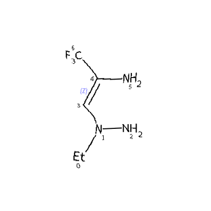 CCN(N)/C=C(\N)C(F)(F)F